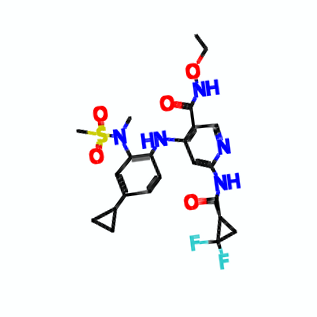 CCONC(=O)c1cnc(NC(=O)[C@H]2CC2(F)F)cc1Nc1ccc(C2CC2)cc1N(C)S(C)(=O)=O